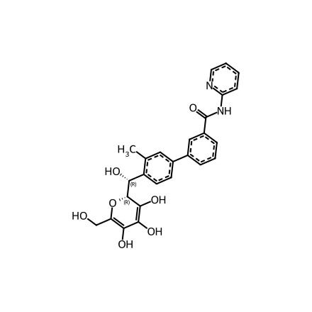 Cc1cc(-c2cccc(C(=O)Nc3ccccn3)c2)ccc1[C@@H](O)[C@H]1OC(CO)=C(O)C(O)=C1O